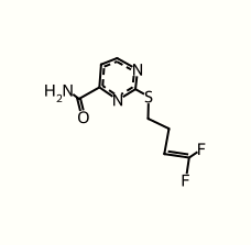 NC(=O)c1ccnc(SCCC=C(F)F)n1